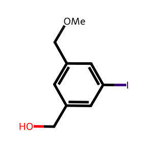 COCc1cc(I)cc(CO)c1